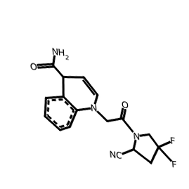 N#CC1CC(F)(F)CN1C(=O)CN1C=CC(C(N)=O)c2ccccc21